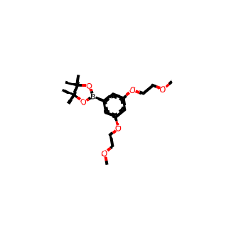 COCCOc1cc(OCCOC)cc(B2OC(C)(C)C(C)(C)O2)c1